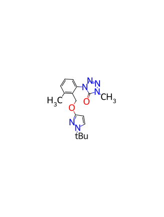 Cc1cccc(-n2nnn(C)c2=O)c1COc1ccn(C(C)(C)C)n1